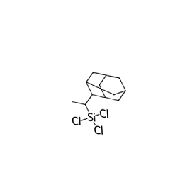 CC(C1C2CC3CC(C2)CC1C3)[Si](Cl)(Cl)Cl